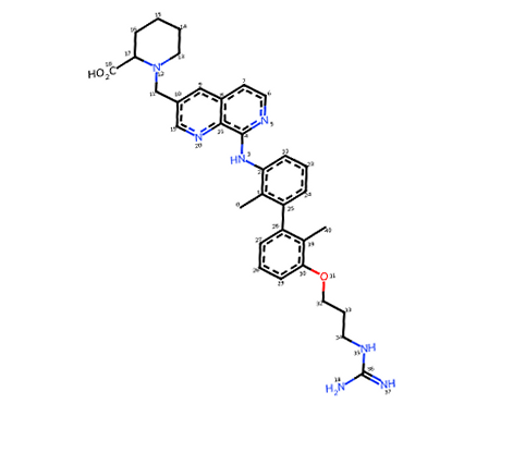 Cc1c(Nc2nccc3cc(CN4CCCCC4C(=O)O)cnc23)cccc1-c1cccc(OCCCNC(=N)N)c1C